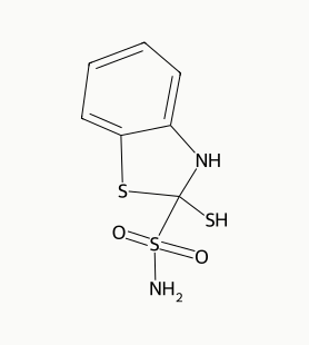 NS(=O)(=O)C1(S)Nc2ccccc2S1